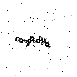 [C-]#[N+]c1cc2c(Oc3ccc(NC(=O)Nc4ccc(F)cc4)c(F)c3)ccnc2cc1OCC(O)CN1CCOCC1